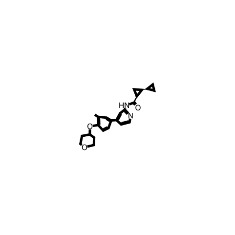 Cc1cc(-c2ccnc(NC(=O)[C@H]3C[C@@H]3C3CC3)c2)ccc1OC1CCOCC1